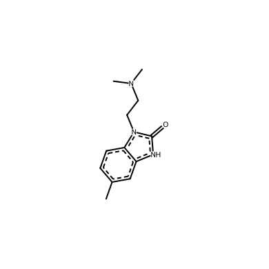 Cc1ccc2c(c1)[nH]c(=O)n2CCN(C)C